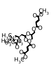 COC(=O)/C=C/C(=O)OCC(COC(=O)/C=C/C(=O)OC)OC(=O)C[C@H](C[N+](C)(C)C)OC(C)=O